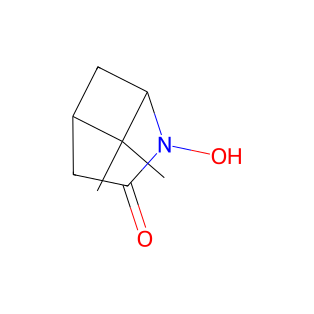 CC1(C)C2CC(=O)N(O)C1C2